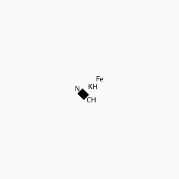 C#N.[Fe].[KH]